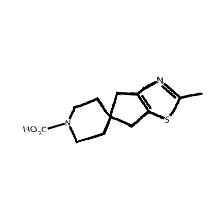 Cc1nc2c(s1)CC1(CCN(C(=O)O)CC1)C2